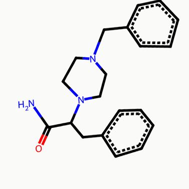 NC(=O)C(Cc1ccccc1)N1CCN(Cc2ccccc2)CC1